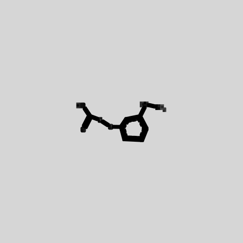 NNc1cccc(OCC(=O)O)c1